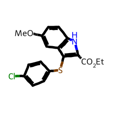 CCOC(=O)c1[nH]c2ccc(OC)cc2c1Sc1ccc(Cl)cc1